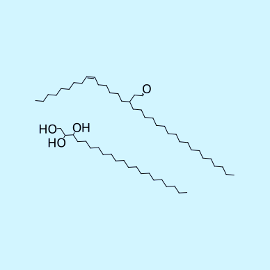 CCCCCCCC/C=C\CCCCCC(CC=O)CCCCCCCCCCCCCCCCCC.CCCCCCCCCCCCCCCCCCC(O)C(O)CO